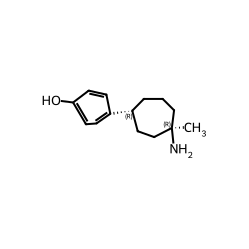 C[C@@]1(N)CCC[C@@H](c2ccc(O)cc2)CC1